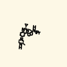 CC(C)NC(=O)Cn1c(C2CC2)nc2ccc(N3CCNC(C)C3)cc2c1=O